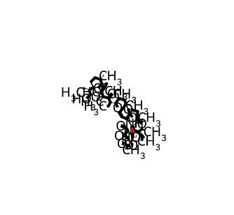 CCC(C(=O)[C@@H](C)[C@@H](O)C1(C)C[C@]12O[C@@H]([C@@H](CC)C(=O)O)CC[C@@H]2C)[C@H]1O[C@]2(C=C[C@@H](NC(=O)N3CCN(S(C)(=O)=O)C3=O)[C@]3(CC[C@@](C)([C@H]4CC[C@](O)(CC)[C@H](C)O4)O3)O2)[C@H](C)C[C@@H]1C